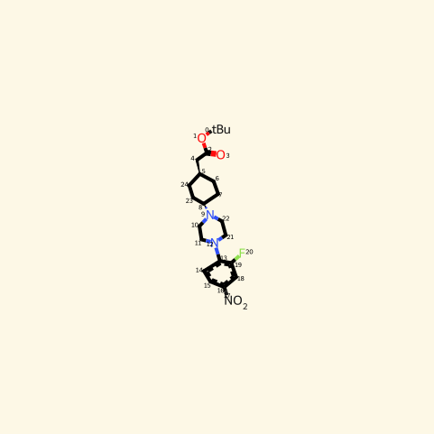 CC(C)(C)OC(=O)C[C@H]1CC[C@H](N2CCN(c3ccc([N+](=O)[O-])cc3F)CC2)CC1